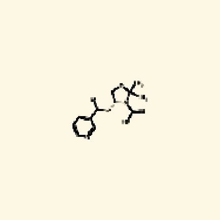 CC1(C)OC[C@@H](C[C@H](O)c2cccnc2)N1C(=O)O